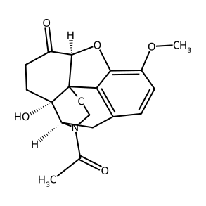 COc1ccc2c3c1O[C@@H]1C(=O)CC[C@]4(O)[C@H](C2)N(C(C)=O)CCC314